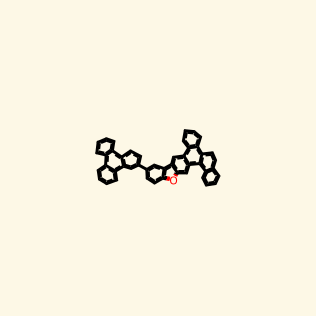 c1ccc2c(c1)ccc1c3ccccc3c3cc4c(cc3c21)oc1ccc(-c2ccc3c5ccccc5c5ccccc5c3c2)cc14